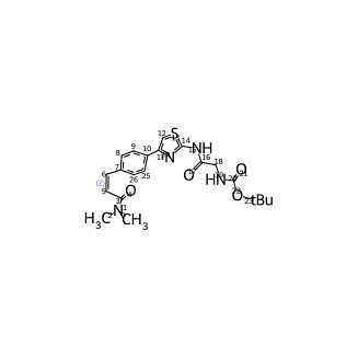 CN(C)C(=O)/C=C\c1ccc(-c2csc(NC(=O)CNC(=O)OC(C)(C)C)n2)cc1